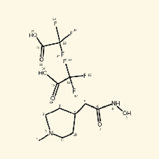 CN1CCC(CC(=O)NO)CC1.O=C(O)C(F)(F)F.O=C(O)C(F)(F)F